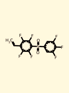 C=Cc1c(F)c(F)c(S(=O)(=O)c2cc(F)c(F)c(F)c2)c(F)c1F